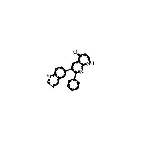 O=c1cc[nH]c2nc(-c3ccccc3)c(-c3ccc4ncncc4c3)cc12